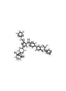 C[C@@H](Cn1cnnn1)Oc1cc(-c2cnc(Nc3cn(C4CCC(N5[C@@H]6CC[C@H]5COC6)CC4)nc3OCc3ncccn3)nc2)ccc1C#N